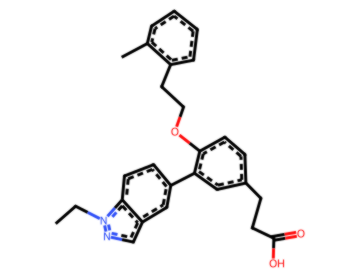 CCn1ncc2cc(-c3cc(CCC(=O)O)ccc3OCCc3ccccc3C)ccc21